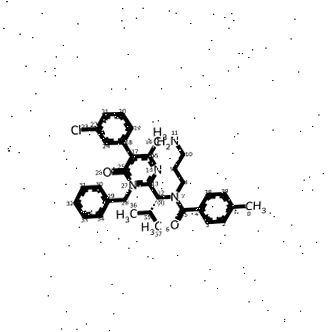 Cc1ccc(C(=O)N(CCCN)[C@@H](c2nc(C)c(-c3cccc(Cl)c3)c(=O)n2Cc2ccccc2)C(C)C)cc1